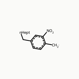 [CH2]c1ccc(CCCCCCCC)cc1[N+](=O)[O-]